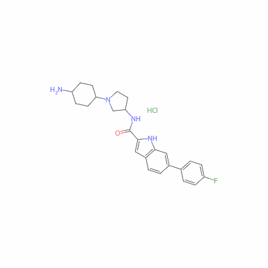 Cl.NC1CCC(N2CCC(NC(=O)c3cc4ccc(-c5ccc(F)cc5)cc4[nH]3)C2)CC1